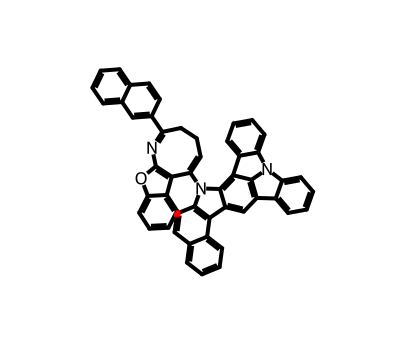 C1=C(/n2c3ccc4ccccc4c3c3cc4c5ccccc5n5c6ccccc6c(c32)c45)c2c(oc3ccccc23)/N=C(/c2ccc3ccccc3c2)CC/1